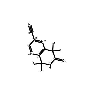 CC1(C)NC(=O)C(C)(C)c2nc(C#N)cnc21